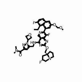 CCc1c(F)ccc2cc(OCOC)cc(-c3ncc4c(NCc5cc(C(=O)N(C)C)nn5C5COC5)nc(OC[C@@]56CCCN5C[C@H](F)C6)nc4c3F)c12